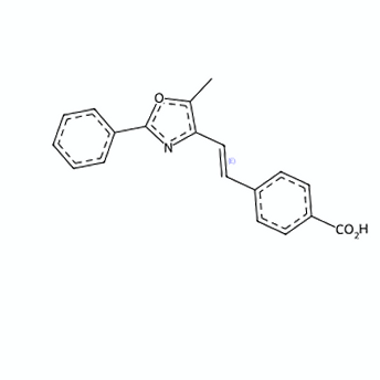 Cc1oc(-c2ccccc2)nc1/C=C/c1ccc(C(=O)O)cc1